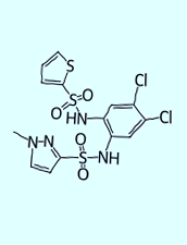 Cn1ccc(S(=O)(=O)Nc2cc(Cl)c(Cl)cc2NS(=O)(=O)c2cccs2)n1